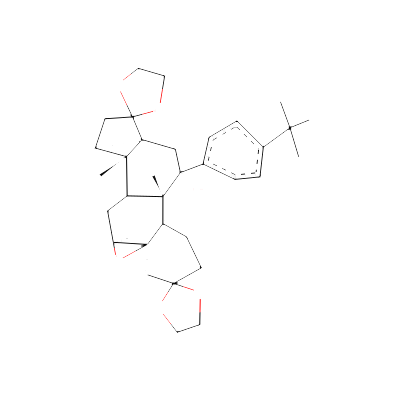 CC(C)(C)c1ccc([C@]2(O)C[C@@]3(C)[C@@H](CCC34OCCO4)[C@@H]3C[C@@H]4O[C@@]45CC4(CC[C@]5(C)[C@H]32)OCCO4)cc1